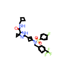 O=C(NCC1CCC1)C1NC(C23CC(N(Cc4ccc(C(F)(F)F)cc4)S(=O)(=O)c4ccc(F)cc4)(C2)C3)=NC12CC2